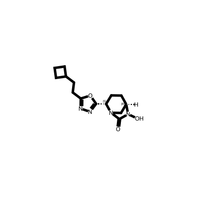 O=C1N(O)[C@@H]2CC[C@@H](c3nnc(CCC4CCC4)o3)N1C2